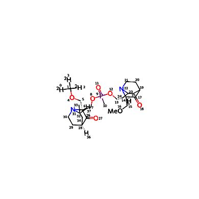 [2H]C([2H])([2H])OC[C@]1(COP(C)(=O)OC[C@@]2(COC)C(=O)C3CCN2[C@H](C)C3)C(=O)[C@H]2CCN1[C@H](C)C2